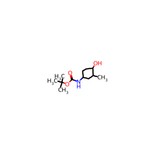 CC1CC(NC(=O)OC(C)(C)C)CCC1O